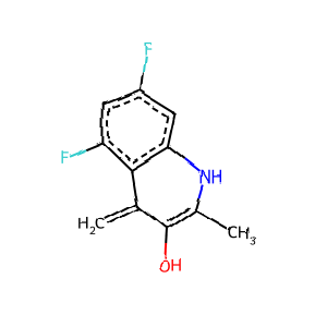 C=C1C(O)=C(C)Nc2cc(F)cc(F)c21